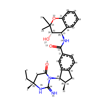 CC[C@]1(C)CC(=O)N([C@H]2c3cc(C(=O)N[C@@H]4c5ccccc5OC(C)(C)[C@H]4O)ccc3C[C@H]2C)C(=N)N1